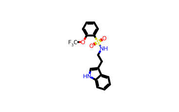 O=S(=O)(NCCc1c[nH]c2ccccc12)c1ccccc1OC(F)(F)F